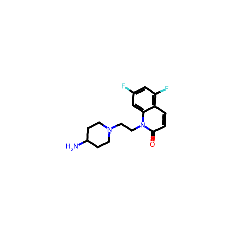 NC1CCN(CCn2c(=O)ccc3c(F)cc(F)cc32)CC1